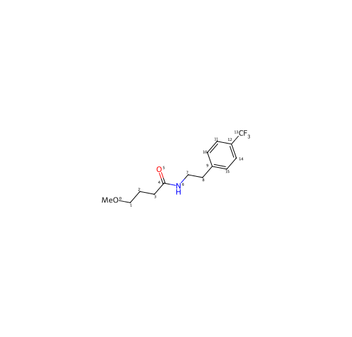 COCCCC(=O)NCCc1ccc(C(F)(F)F)cc1